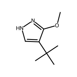 COc1n[nH]cc1C(C)(C)C